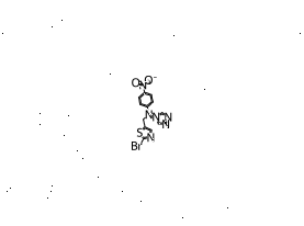 O=[N+]([O-])c1ccc(N(Cc2cnc(Br)s2)n2cnnc2)cc1